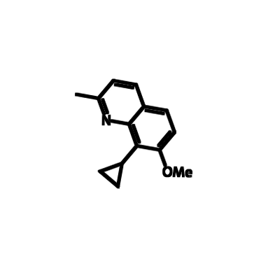 COc1ccc2ccc(C)nc2c1C1CC1